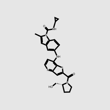 Cc1cc2cc(Nc3ccnc4cc(C(=O)N5CCC[C@@H]5CO)sc34)ccc2n1C(=O)NC1CC1